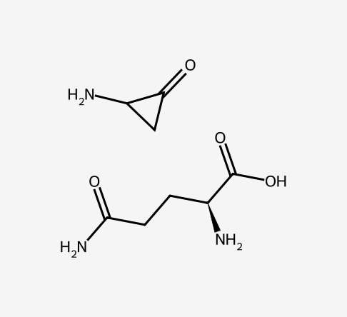 NC(=O)CC[C@H](N)C(=O)O.NC1CC1=O